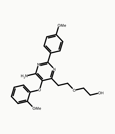 COc1ccc(-c2nc(N)c(Oc3ccccc3OC)c(CCOCCO)n2)cc1